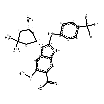 COc1cc2c(cc1C(=O)O)nc(Nc1ccc(C(F)(F)F)cc1)n2[C@H]1C[C@@H](C)CC(C)(C)C1